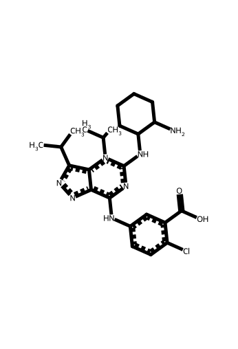 CC(C)c1nnc2c(Nc3ccc(Cl)c(C(=O)O)c3)nc(NC3CCCCC3N)n(C(C)C)c1-2